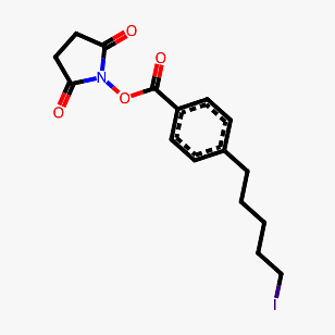 O=C(ON1C(=O)CCC1=O)c1ccc(CCCCCI)cc1